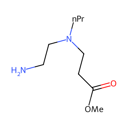 CCCN(CCN)CCC(=O)OC